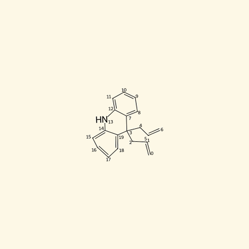 C=CCC1(CC=C)c2ccccc2Nc2ccccc21